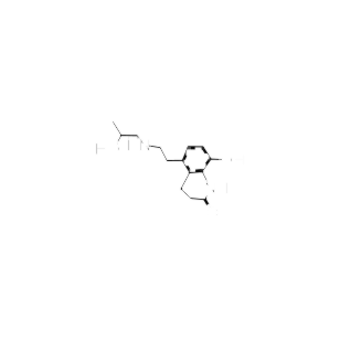 CC(O)CNCCc1ccc(O)c2c1CCC(=O)N2